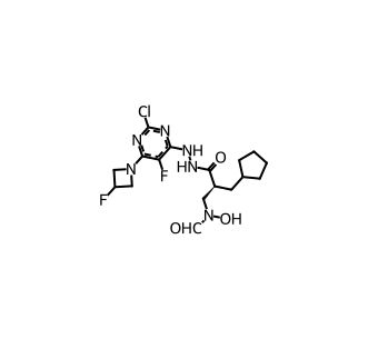 O=CN(O)C[C@H](CC1CCCC1)C(=O)NNc1nc(Cl)nc(N2CC(F)C2)c1F